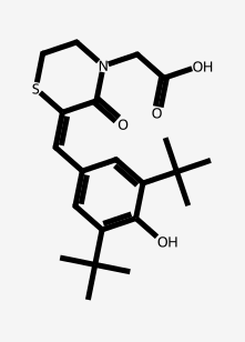 CC(C)(C)c1cc(/C=C2/SCCN(CC(=O)O)C2=O)cc(C(C)(C)C)c1O